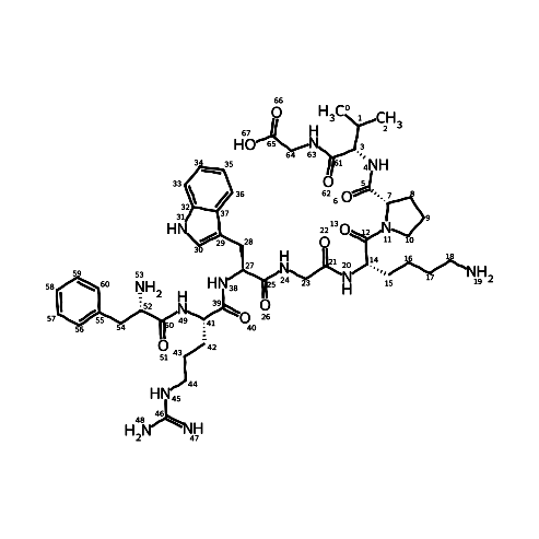 CC(C)[C@H](NC(=O)[C@@H]1CCCN1C(=O)[C@H](CCCCN)NC(=O)CNC(=O)[C@H](Cc1c[nH]c2ccccc12)NC(=O)[C@H](CCCNC(=N)N)NC(=O)[C@@H](N)Cc1ccccc1)C(=O)NCC(=O)O